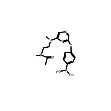 CC(=O)N(C)CCN(C)c1cncc(Oc2ccc(B(O)O)cc2)n1